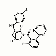 O=C(c1c(F)cccc1-c1ncccn1)N1C[C@H]2C[C@@H](Nc3ccc(Br)cn3)[C@@H]1C2